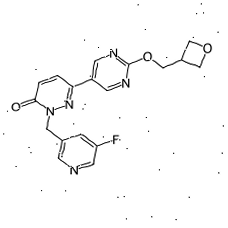 O=c1ccc(-c2cnc(OCC3COC3)nc2)nn1Cc1cncc(F)c1